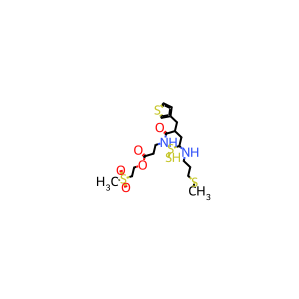 CSCCCNC(CC(Cc1ccsc1)C(=O)NCCC(=O)OCCS(C)(=O)=O)SS